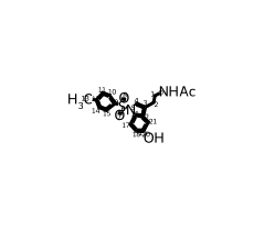 CC(=O)NCCc1cn(S(=O)(=O)c2ccc(C)cc2)c2ccc(O)cc12